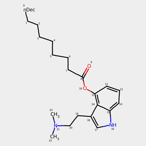 CCCCCCCCCCCCCCCCCC(=O)Oc1cccc2[nH]cc(CCN(C)C)c12